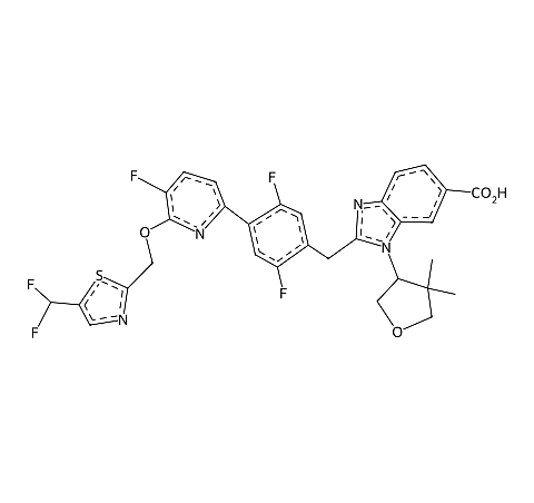 CC1(C)COCC1n1c(Cc2cc(F)c(-c3ccc(F)c(OCc4ncc(C(F)F)s4)n3)cc2F)nc2ccc(C(=O)O)cc21